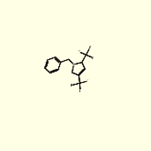 FC(F)(F)C1=CC(C(F)(F)F)N(Cc2ccccc2)C1